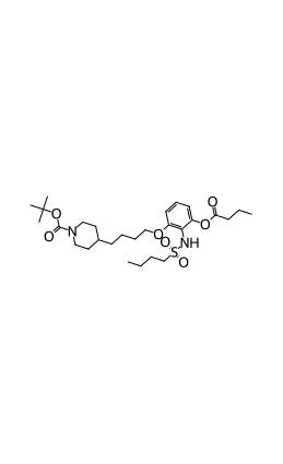 CCCCS(=O)(=O)Nc1c(OCCCCC2CCN(C(=O)OC(C)(C)C)CC2)cccc1OC(=O)CCC